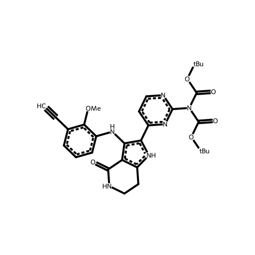 C#Cc1cccc(Nc2c(-c3ccnc(N(C(=O)OC(C)(C)C)C(=O)OC(C)(C)C)n3)[nH]c3c2C(=O)NCC3)c1OC